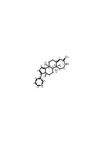 C[C@]12CC[C@H]3[C@@H](CCC4=CC(=O)NCC[C@@]43C)C1=CC=C2c1cccnc1